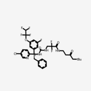 CC(C)(C)CC(=O)CCNC(=O)C(F)(F)CNC(=O)N[C@@](Cc1ccccc1)(c1cc(F)cc(OC(F)(F)C(F)F)c1)c1ccc(Cl)cn1